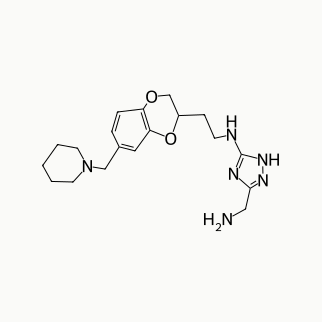 NCc1n[nH]c(NCCC2COc3ccc(CN4CCCCC4)cc3O2)n1